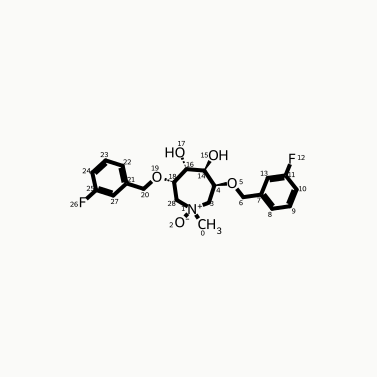 C[N+]1([O-])C[C@H](OCc2cccc(F)c2)[C@H](O)[C@@H](O)[C@@H](OCc2cccc(F)c2)C1